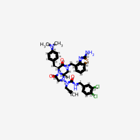 C#CCN(C(=O)NCc1ccc(Cl)c(Cl)c1)N1CC(=O)N2[C@@H](Cc3ccc(N(C)C)cc3)C(=O)N(Cc3cccc4sc(N)nc34)C[C@@H]21